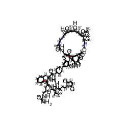 CO[C@H]1/C=C/O[C@@]2(C)Oc3c(C)c(O)c4c(=O)c(c5sc6cc(N7CCC(NC(=O)[C@H](Cc8ccccc8)NC(=O)[C@H](CCCNC(N)=O)NC(=O)[C@@H](NC(=O)CCN8C(=O)C=CC8=O)C(C)C)CC7)cc(O)c6nc-5c4c3C2=O)NC(=O)/C(C)=C\C=C\[C@H](C)[C@H](O)[C@@H](C)[C@@H](O)[C@@H](C)[C@H](OC(C)=O)[C@@H]1C